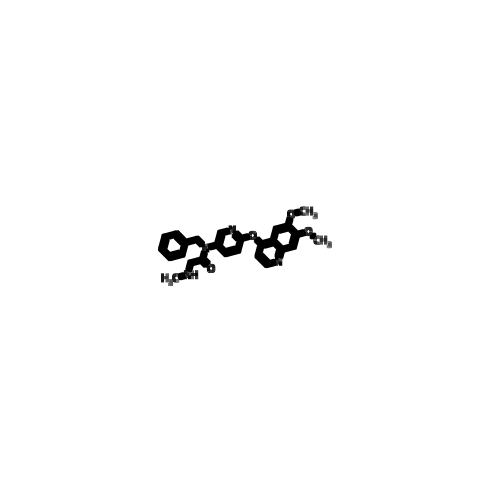 CNCC(=O)N(Cc1ccccc1)c1ccc(Oc2ccnc3cc(OC)c(OC)cc23)nc1